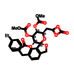 CCc1ccc(Cc2ccc3c(c2)[C@]2(OC3)O[C@H](CC3OC(=O)O3)[C@@H](OC(=O)OC)[C@H](OC(=O)OC)[C@H]2OC(=O)OC)cc1